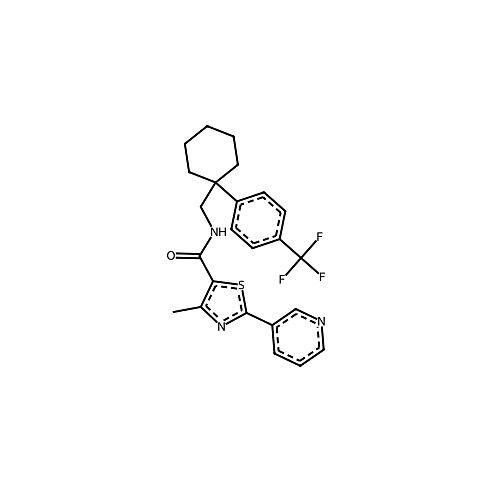 Cc1nc(-c2cccnc2)sc1C(=O)NCC1(c2ccc(C(F)(F)F)cc2)CCCCC1